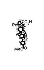 COC(=O)c1ccc(C2=CC(=O)[C@]3(C)[C@H]4CC[C@@H]5[C@H]6[C@H](C(C)C)CC[C@]6(C(=O)O)CC[C@@]5(C)[C@]4(C)CC[C@H]3C2(C)C)cc1